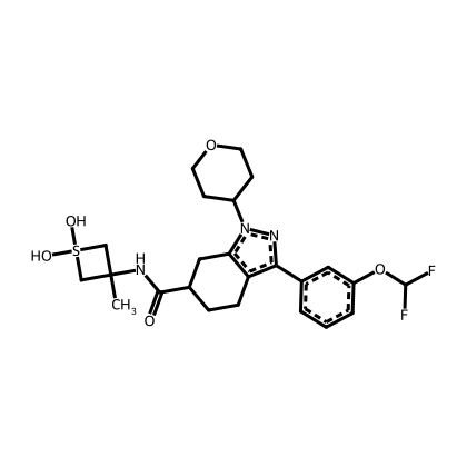 CC1(NC(=O)C2CCc3c(-c4cccc(OC(F)F)c4)nn(C4CCOCC4)c3C2)CS(O)(O)C1